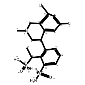 CC(c1c(C2CN(C)Cc3c(Cl)cc(Cl)cc32)cccc1S(N)(=O)=O)P(=O)(O)O